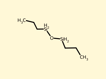 CCC[SiH2]O[SiH2]CCC